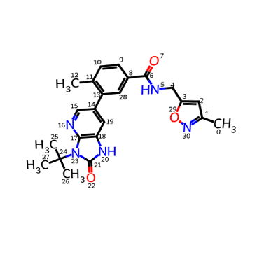 Cc1cc(CNC(=O)c2ccc(C)c(-c3cnc4c(c3)[nH]c(=O)n4C(C)(C)C)c2)on1